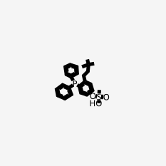 CC(C)(C)CCc1ccccc1P(c1ccccc1)c1ccccc1.CS(=O)(=O)O